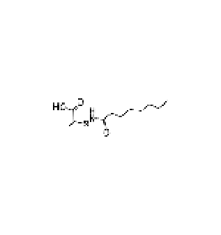 CCCCCCCC(=O)NSC(C)C(=O)O